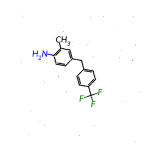 Cc1cc(Cc2ccc(C(F)(F)F)cc2)ccc1N